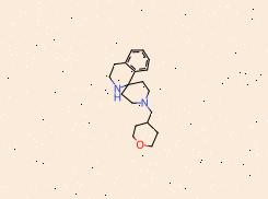 c1ccc2c(c1)CCNC21CCN(CC2CCOCC2)CC1